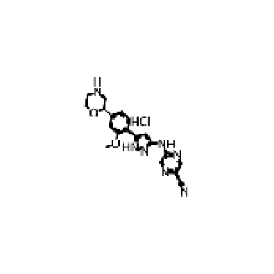 COc1cc([C@@H]2CNCCO2)ccc1-c1cc(Nc2cnc(C#N)cn2)n[nH]1.Cl